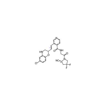 N#C[C@@H]1CC(F)(F)CN1C(=O)CNC(=O)c1ccncc1/C=C/C1CNc2cc(Cl)ccc2O1